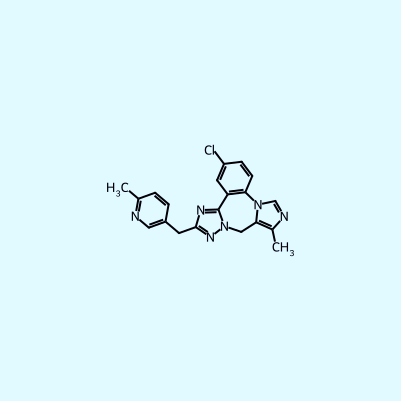 Cc1ccc(Cc2nc3n(n2)Cc2c(C)ncn2-c2ccc(Cl)cc2-3)cn1